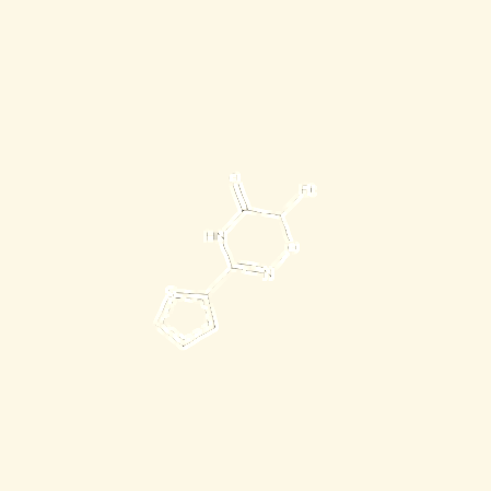 CCC1ON=C(c2cccs2)NC1=O